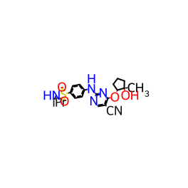 CC(C)NS(=O)(=O)c1ccc(Nc2ncc(C#N)c(O[C@@H]3CCC[C@]3(C)O)n2)cc1